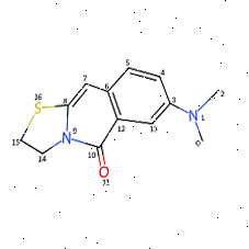 CN(C)c1ccc2cc3n(c(=O)c2c1)CCS3